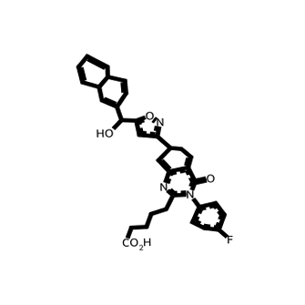 O=C(O)CCCCc1nc2c(c(=O)n1-c1ccc(F)cc1)=CCC(c1cc(C(O)C3=CC4C=CC=CC4C=C3)on1)C=2